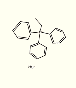 CC[P+](c1ccccc1)(c1ccccc1)c1ccccc1.[OH-]